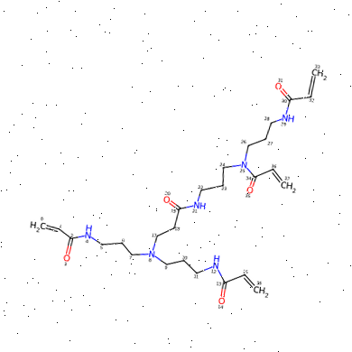 C=CC(=O)NCCCN(CCCNC(=O)C=C)CCC(=O)NCCCN(CCCNC(=O)C=C)C(=O)C=C